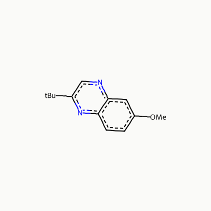 COc1ccc2nc(C(C)(C)C)cnc2c1